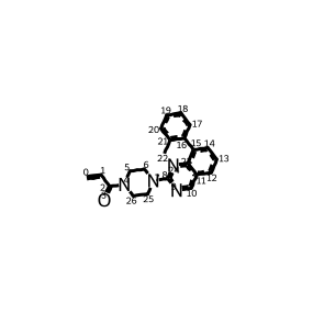 C=CC(=O)N1CCN(c2ncc3cccc(-c4ccccc4C)c3n2)CC1